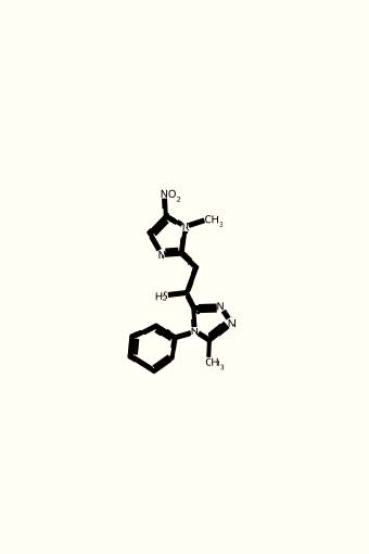 Cc1nnc(C(S)Cc2ncc([N+](=O)[O-])n2C)n1-c1ccccc1